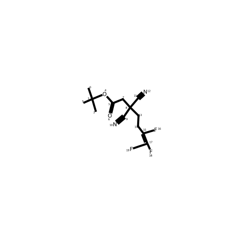 CC(C)(C)OC(=O)CC(C#N)(C#N)CCC(F)=C(F)F